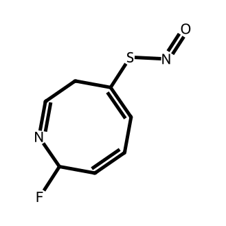 O=NS/C1=C/C=CC(F)/N=C\C1